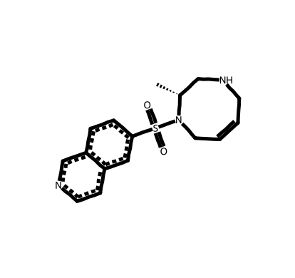 C[C@@H]1CNC/C=C\CN1S(=O)(=O)c1ccc2cnccc2c1